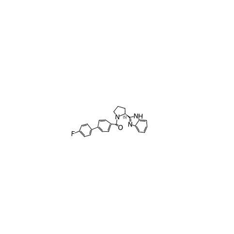 O=C(c1ccc(-c2ccc(F)cc2)cc1)N1CCC[C@H]1c1nc2ccccc2[nH]1